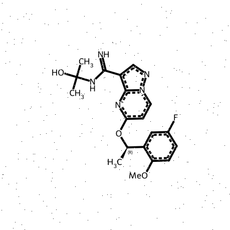 COc1ccc(F)cc1[C@@H](C)Oc1ccn2ncc(C(=N)NC(C)(C)O)c2n1